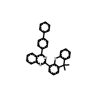 CC1(C)c2ccccc2Sc2c(-c3nc(-c4ccc(-c5ccccc5)cc4)c4ccccc4n3)cccc21